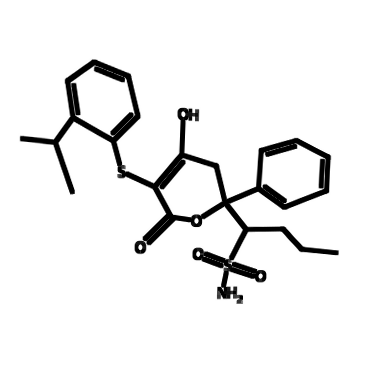 CCCC(C1(c2ccccc2)CC(O)=C(Sc2ccccc2C(C)C)C(=O)O1)S(N)(=O)=O